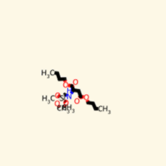 CCCCOC(=O)CC(NC[Si](OC)(OC)OC)C(=O)OCCCC